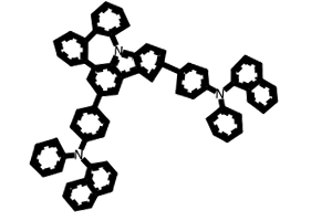 c1ccc(N(c2ccc(-c3ccc4c(c3)c3cc(-c5ccc(N(c6ccccc6)c6cccc7ccccc67)cc5)cc5c3n4-c3ccccc3-c3ccccc3-5)cc2)c2cccc3ccccc23)cc1